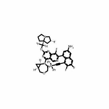 [2H]C([2H])(Oc1nc(N2CCOC[C@H]3C[C@H]32)c2cnc(-c3cc(N)cc4cc(F)c(F)c(C#C[Si](C(C)C)(C(C)C)C(C)C)c34)c(F)c2n1)[C@@]12CCCN1C[C@H](F)C2